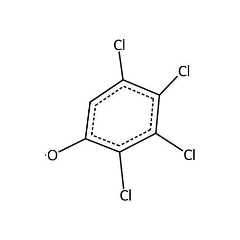 [O]c1cc(Cl)c(Cl)c(Cl)c1Cl